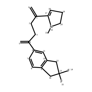 C=C(CCC(=C)c1ccc2c(c1)CC(F)(F)C2)C1=CCCN1C